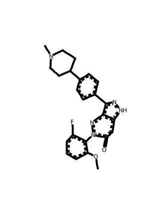 COc1cccc(F)c1-n1nc2c(-c3ccc(C4CCN(C)CC4)cc3)n[nH]c2cc1=O